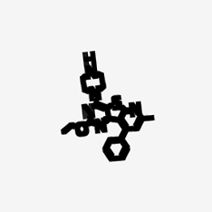 CCOc1nc(N2CCNCC2)c2sc3nc(C)cc(-c4ccccc4)c3c2n1